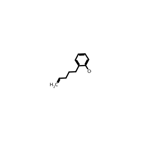 C=CCCCc1ccccc1[O]